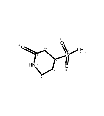 CS(=O)(=O)C1CCNC(=O)C1